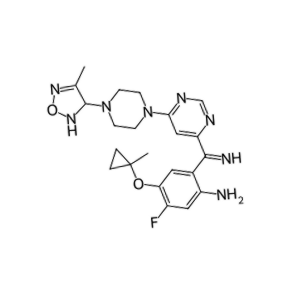 CC1=NONC1N1CCN(c2cc(C(=N)c3cc(OC4(C)CC4)c(F)cc3N)ncn2)CC1